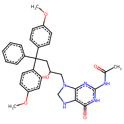 COc1ccc(C(CC(O)CN2CNc3c2nc(NC(C)=O)[nH]c3=O)(c2ccccc2)c2ccc(OC)cc2)cc1